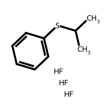 CC(C)Sc1ccccc1.F.F.F